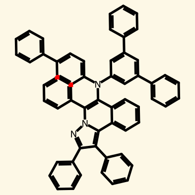 c1ccc(-c2ccc(N(c3cc(-c4ccccc4)cc(-c4ccccc4)c3)c3c(-c4ccccc4)n4nc(-c5ccccc5)c(-c5ccccc5)c4c4ccccc34)cc2)cc1